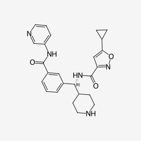 O=C(Nc1cccnc1)c1cccc([C@H](NC(=O)c2cc(C3CC3)on2)C2CCNCC2)c1